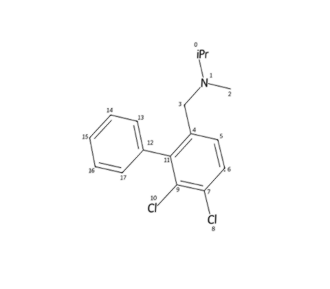 CC(C)N(C)Cc1c[c]c(Cl)c(Cl)c1-c1ccccc1